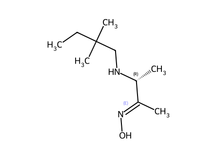 CCC(C)(C)CN[C@H](C)/C(C)=N/O